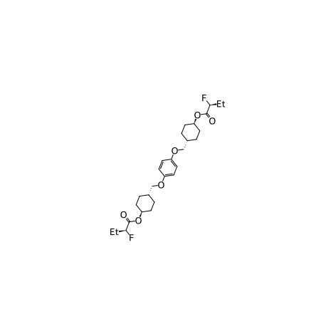 CC[C@H](F)C(=O)O[C@H]1CC[C@H](COc2ccc(OC[C@H]3CC[C@H](OC(=O)[C@@H](F)CC)CC3)cc2)CC1